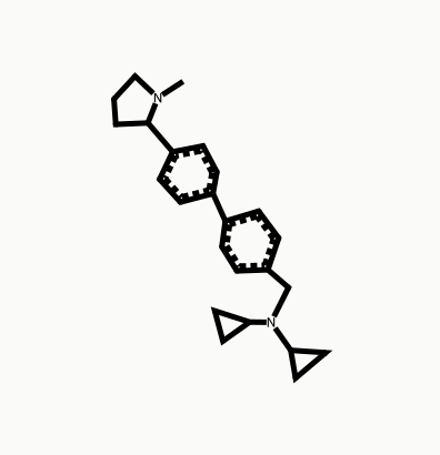 CN1CCCC1c1ccc(-c2ccc(CN(C3CC3)C3CC3)cc2)cc1